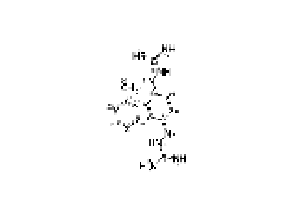 N=C(N)NN=C1C=CC(=NNC(=N)S)C=C1.[CH2]c1ccccc1